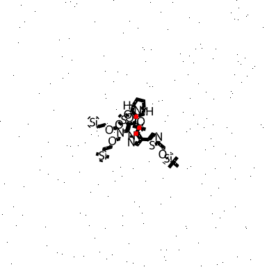 CC(C)(C)OC(=O)N1[C@@H]2CC[C@H]1C[C@@H](c1nc3c(-c4cnc(CO[Si](C)(C)C(C)(C)C)s4)cnn3c(N(COCC[Si](C)(C)C)COCC[Si](C)(C)C)c1S(C)(=O)=O)C2